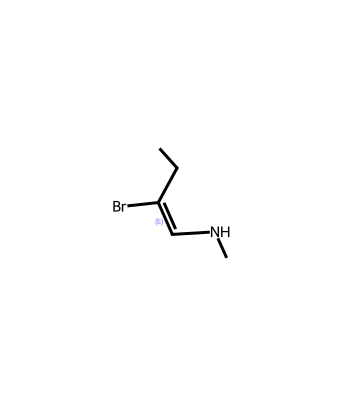 CC/C(Br)=C\NC